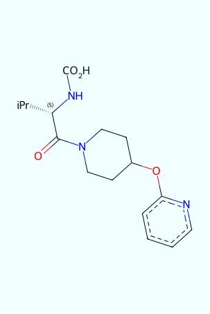 CC(C)[C@H](NC(=O)O)C(=O)N1CCC(Oc2ccccn2)CC1